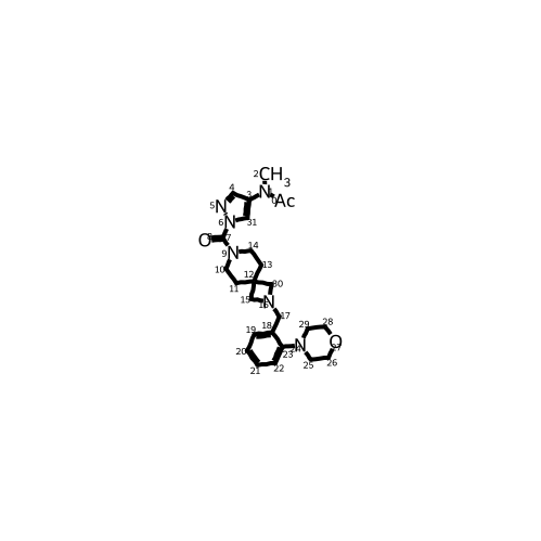 CC(=O)N(C)c1cnn(C(=O)N2CCC3(CC2)CN(Cc2ccccc2N2CCOCC2)C3)c1